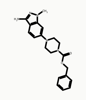 Cn1nc(N)c2ccc(N3CCN(C(=O)OCc4ccccc4)CC3)cc21